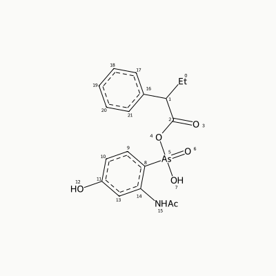 CCC(C(=O)O[As](=O)(O)c1ccc(O)cc1NC(C)=O)c1ccccc1